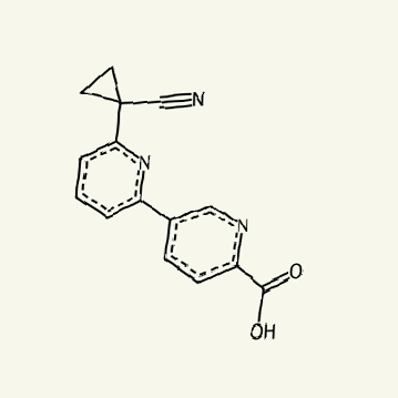 N#CC1(c2cccc(-c3ccc(C(=O)O)nc3)n2)CC1